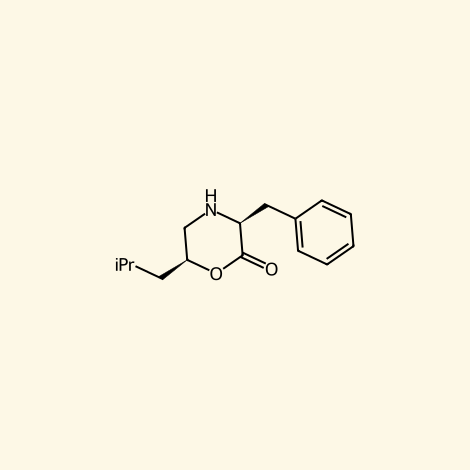 CC(C)C[C@H]1CN[C@@H](Cc2ccccc2)C(=O)O1